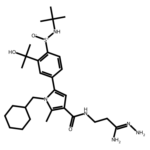 Cc1c(C(=O)NCC/C(N)=N/N)cc(-c2ccc([S+]([O-])NC(C)(C)C)c(C(C)(C)O)c2)n1CC1CCCCC1